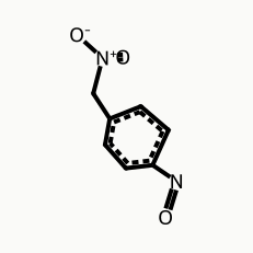 O=Nc1ccc(C[N+](=O)[O-])cc1